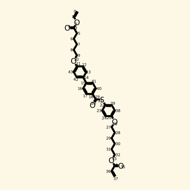 C=COC(=O)CCCCCOc1ccc(-c2ccc(C(=O)Sc3ccc(OCCCCCCOC(=O)C=C)cc3)cc2)cc1